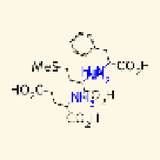 CSCCC(N)C(=O)O.NC(CCC(=O)O)C(=O)O.NC(Cc1ccccc1)C(=O)O